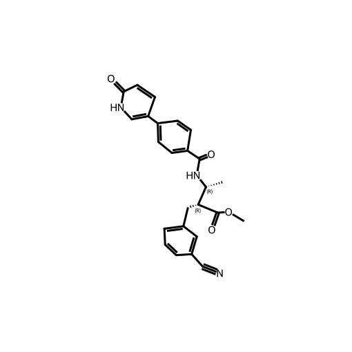 COC(=O)[C@H](Cc1cccc(C#N)c1)[C@@H](C)NC(=O)c1ccc(-c2ccc(=O)[nH]c2)cc1